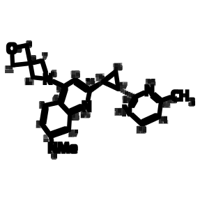 CNc1ccc2c(N3CC4(COC4)C3)cc([C@H]3C[C@@H]3c3nccc(C)n3)nc2c1